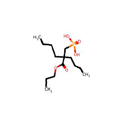 CCCCC(CCCC)(CP(=O)(O)O)C(=O)OCCC